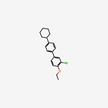 CCOc1ccc(-c2ccc(C3CC[CH]CC3)cc2)cc1Br